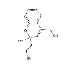 CCCC1(CCC(C)C)C=C(CO)c2ccccc2O1